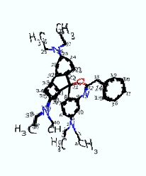 CCN(CC)c1ccc2c(c1)N=C(Cc1ccccc1)OC21c2ccc(N(CC)CC)cc2-c2ccc(N(CC)CC)cc21